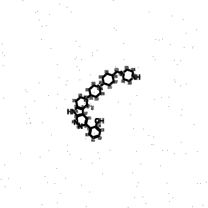 C[C@@H]1c2c([nH]c3nnc(-c4ccccc4O)cc23)CCN1C1CCN(C2CCC(CN3CCNCC3)CC2)CC1